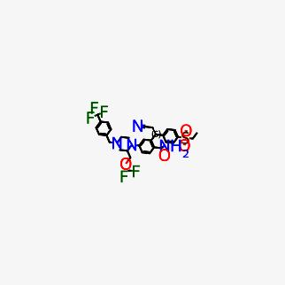 CCS(=O)(=O)c1ccc([C@H](CC#N)c2cc(N3CCN(Cc4ccc(C(F)(F)F)cc4)CC3COC(F)F)ccc2C(N)=O)cc1